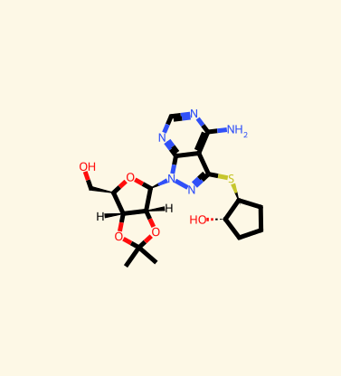 CC1(C)O[C@@H]2[C@H](O1)[C@@H](CO)O[C@H]2n1nc(S[C@H]2CCC[C@@H]2O)c2c(N)ncnc21